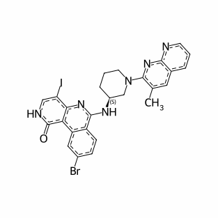 Cc1cc2cccnc2nc1N1CCC[C@H](Nc2nc3c(I)c[nH]c(=O)c3c3cc(Br)ccc23)C1